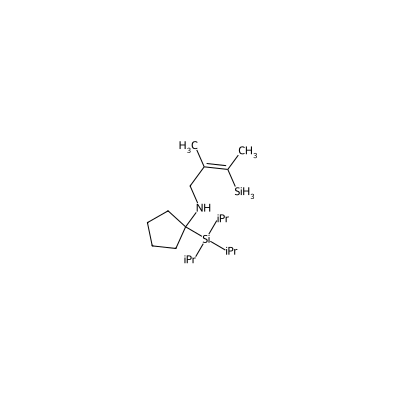 CC([SiH3])=C(C)CNC1([Si](C(C)C)(C(C)C)C(C)C)CCCC1